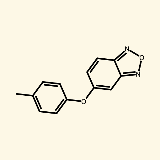 Cc1ccc(Oc2ccc3nonc3c2)cc1